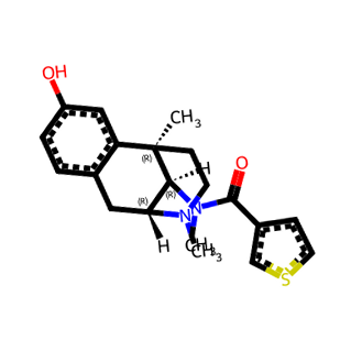 CN1CC[C@]2(C)c3cc(O)ccc3C[C@@H]1[C@@H]2N(C)C(=O)c1ccsc1